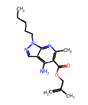 C=C(C)COC(=O)c1c(C)nc2c(cnn2CCCCC)c1N